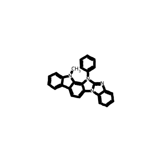 Cn1c2ccccc2c2ccc3c(c21)n(-c1ccccc1)c1nc2ccccc2n31